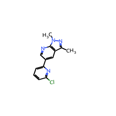 Cc1nn(C)c2ncc(-c3cccc(Cl)n3)cc12